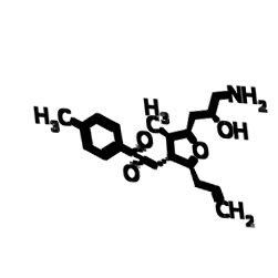 C=CC[C@@H]1O[C@H](C[C@H](O)CN)[C@H](C)[C@H]1CS(=O)(=O)c1ccc(C)cc1